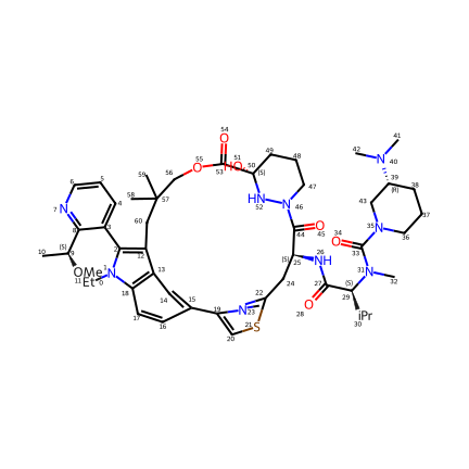 CCn1c(-c2cccnc2[C@H](C)OC)c2c3cc(ccc31)-c1csc(n1)C[C@H](NC(=O)[C@H](C(C)C)N(C)C(=O)N1CCC[C@@H](N(C)C)C1)C(=O)N1CCC[C@@](O)(N1)C(=O)OCC(C)(C)C2